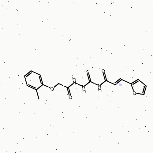 Cc1ccccc1OCC(=O)NNC(=S)NC(=O)/C=C/c1ccco1